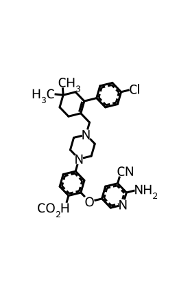 CC1(C)CCC(CN2CCN(c3ccc(C(=O)O)c(Oc4cnc(N)c(C#N)c4)c3)CC2)=C(c2ccc(Cl)cc2)C1